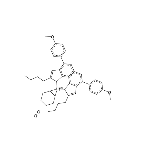 CCCCC1=Cc2c(-c3ccc(OC)cc3)cccc2[CH]1[Hf+2]1([CH]2C(CCCC)=Cc3c(-c4ccc(OC)cc4)cccc32)[CH]2CCCC[CH]21.[Cl-].[Cl-]